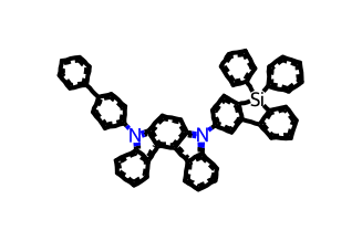 c1ccc(-c2ccc(-n3c4ccccc4c4c5c6ccccc6n(-c6ccc7c(c6)-c6ccccc6[Si]7(c6ccccc6)c6ccccc6)c5ccc43)cc2)cc1